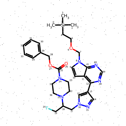 C[Si](C)(C)CCOCn1ccc2c(-c3cnn(CC(CF)N4CCN(C(=O)OCc5ccccc5)CC4)c3)ncnc21